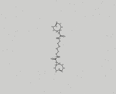 O=C(NCCSSCCNC(=O)C1C2CC/C=C/CCC21)C1C2CC/C=C/CCC21